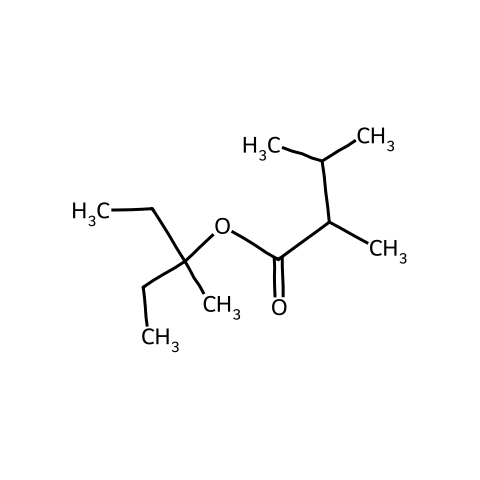 CCC(C)(CC)OC(=O)C(C)C(C)C